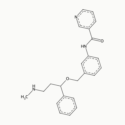 CNCCC(OCc1cccc(NC(=O)c2cccnc2)c1)c1ccccc1